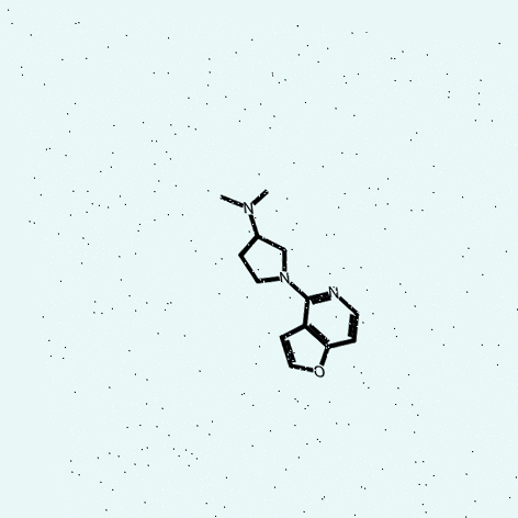 CN(C)C1CCN(c2nccc3occc23)C1